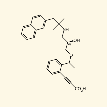 CC(OC[C@H](O)CNC(C)(C)Cc1ccc2ccccc2c1)c1ccccc1C#CC(=O)O